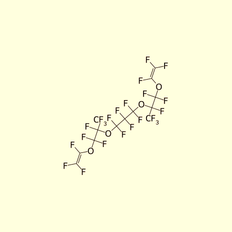 FC(F)=C(F)OC(F)(F)C(F)(OC(F)(F)C(F)(F)C(F)(F)OC(F)(C(F)(F)F)C(F)(F)OC(F)=C(F)F)C(F)(F)F